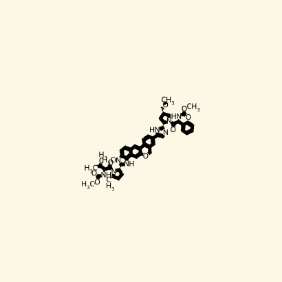 COC[C@H]1C[C@@H](c2ncc(-c3ccc4c(c3)COc3cc5c6c(ccc5cc3-4)N(C)C([C@@H]3CC[C@H](C)N3C(=O)[C@@H](NC(=O)OC)C(C)C)N6)[nH]2)N(C(=O)[C@H](NC(=O)OC)c2ccccc2)C1